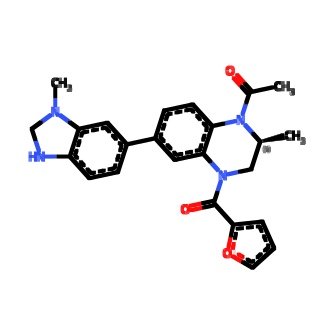 CC(=O)N1c2ccc(-c3ccc4c(c3)N(C)CN4)cc2N(C(=O)c2ccco2)C[C@@H]1C